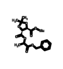 CC(OC(=O)[C@@H]1OC(C)(C)O[C@H]1C(=O)OC(C)(C)C)C(=O)OCc1ccccc1